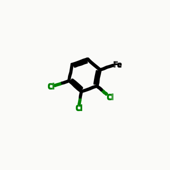 Clc1cc[c]([Fe])c(Cl)c1Cl